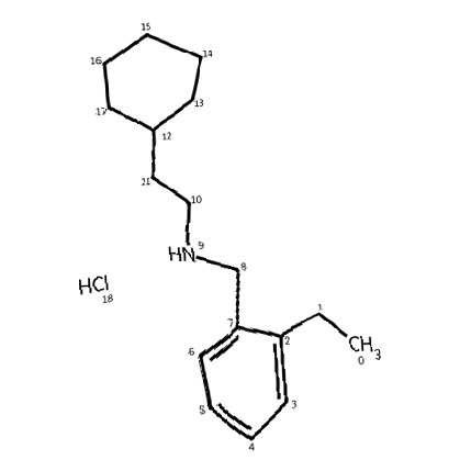 CCc1ccccc1CNCCC1CCCCC1.Cl